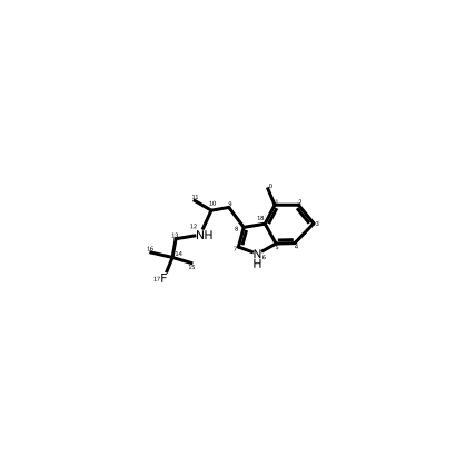 Cc1cccc2[nH]cc(CC(C)NCC(C)(C)F)c12